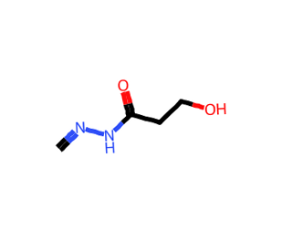 C=NNC(=O)CCO